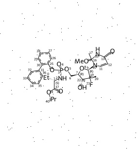 CC[C@H](NP(=O)(OC[C@H]1O[C@@H](N2C=CC(=O)NC2(C)OC)[C@](C)(F)[C@@H]1O)Oc1ccccc1-c1ccccc1)C(=O)OC(C)C